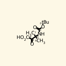 CC(C)(C)OC(=O)NC(C)(C)C(=O)C(=O)O